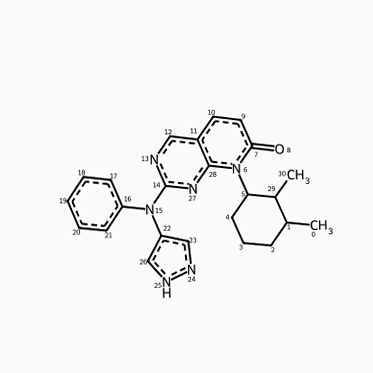 CC1CCCC(n2c(=O)ccc3cnc(N(c4ccccc4)c4cn[nH]c4)nc32)C1C